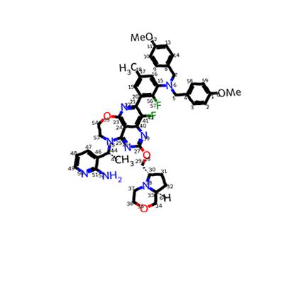 COc1ccc(CN(Cc2ccc(OC)cc2)c2cc(C)cc(-c3nc4c5c(nc(OC[C@@H]6CC[C@H]7COCCN76)nc5c3F)N([C@H](C)c3cccnc3N)CCO4)c2F)cc1